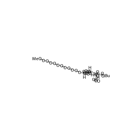 COCCOCCOCCOCCOCCOCCOCCOCCOCCOCCOCCOCCC(=O)N[C@H]1CO[C@H]2[C@@H]1OC[C@@H]2NC(=O)CCC[C@H](NC(=O)CCN1C(=O)C=CC1=O)C(=O)NCCC(=O)OC(C)(C)C